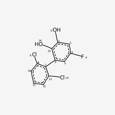 Oc1cc(F)cc(-c2c(Cl)cccc2Cl)c1O